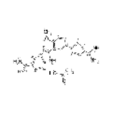 CC(=O)O.COc1ccc(-c2ccc(C(=N)N)cn2)cc1-c1nc2cc(C(=N)N)ccc2[nH]1